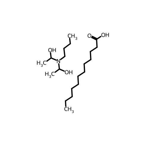 CCCCCCCCCCCC(=O)O.CCCCN(C(C)O)C(C)O